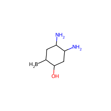 BC1CC(N)C(N)CC1O